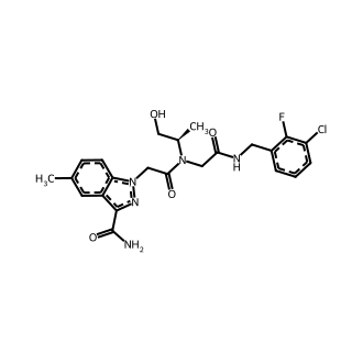 Cc1ccc2c(c1)c(C(N)=O)nn2CC(=O)N(CC(=O)NCc1cccc(Cl)c1F)[C@H](C)CO